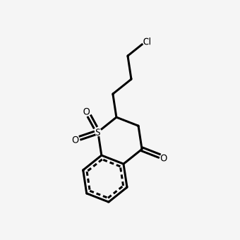 O=C1CC(CCCCl)S(=O)(=O)c2ccccc21